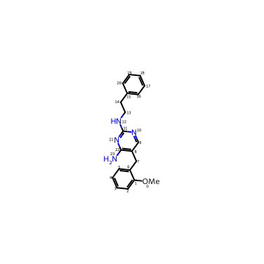 COc1ccccc1Cc1cnc(NCCc2ccccc2)nc1N